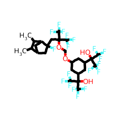 CC1C2CC(C1C)C(F)(CC(OCOC1CC(C(O)(C(F)(F)F)C(F)(F)F)CC(C(O)(C(F)(F)F)C(F)(F)F)C1)(C(F)(F)F)C(F)(F)F)C2